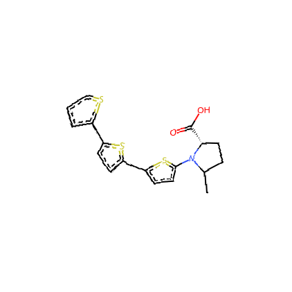 CC1CC[C@@H](C(=O)O)N1c1ccc(-c2ccc(-c3cccs3)s2)s1